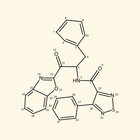 O=C(NC(Cc1ccccc1)C(=O)c1nc2ccccc2o1)c1nsnc1-c1ccccc1